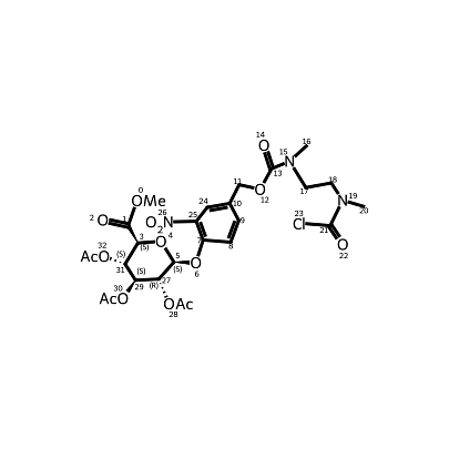 COC(=O)[C@H]1O[C@@H](Oc2ccc(COC(=O)N(C)CCN(C)C(=O)Cl)cc2[N+](=O)[O-])[C@H](OC(C)=O)[C@@H](OC(C)=O)[C@@H]1OC(C)=O